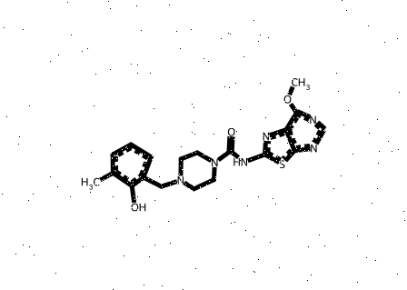 COc1ncnc2sc(NC(=O)N3CCN(Cc4cccc(C)c4O)CC3)nc12